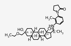 CCOC[C@@]1(O)CC[C@H]2[C@H](CC[C@@H]3[C@@H]2CC[C@]2(C)C([C@@H](C)Nc4cccc(N5CCCC5=O)c4C)CC[C@@H]32)C1